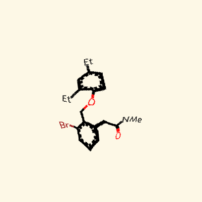 CCc1ccc(OCc2c(Br)cccc2CC(=O)NC)c(CC)c1